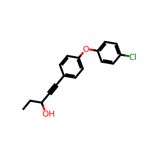 CCC(O)C#Cc1ccc(Oc2ccc(Cl)cc2)cc1